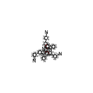 N#Cc1ccc(-c2ccc(-c3nc(-c4ccc(-c5cccc(C#N)c5)cc4-n4c5ccccc5c5ccccc54)nc(-c4ccc(-c5cccc(C#N)c5)cc4-n4c5ccccc5c5ccccc54)n3)cc2)cc1